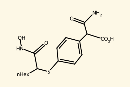 CCCCCCC(Sc1ccc(C(C(N)=O)C(=O)O)cc1)C(=O)NO